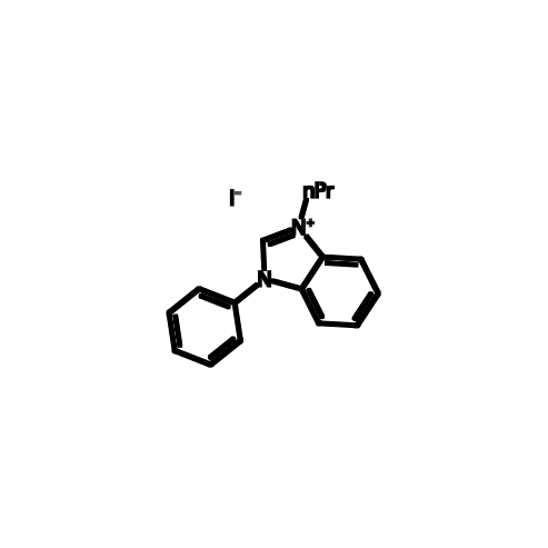 CCC[n+]1cn(-c2ccccc2)c2ccccc21.[I-]